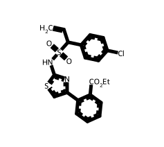 C=CC(c1ccc(Cl)cc1)S(=O)(=O)Nc1nc(-c2ccccc2C(=O)OCC)cs1